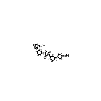 CC(C)n1cnnc1-c1cccc(N2CCN(c3cccc(-c4ccc(C#N)cc4)c3)C2=O)n1